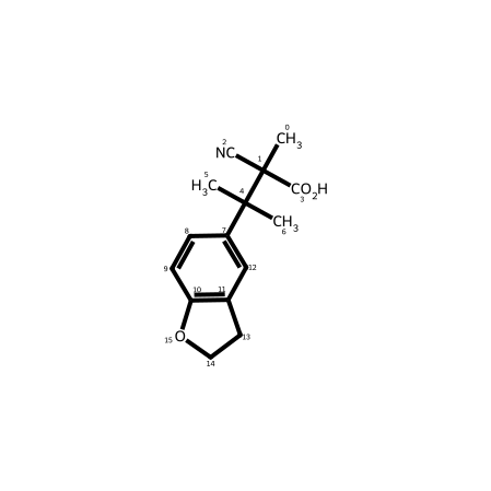 CC(C#N)(C(=O)O)C(C)(C)c1ccc2c(c1)CCO2